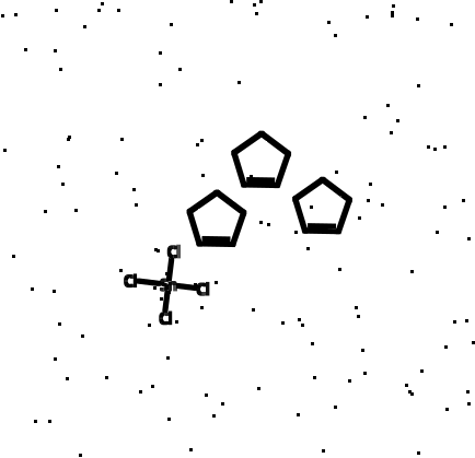 C1=CCCC1.C1=CCCC1.C1=CCCC1.[Cl][Sn]([Cl])([Cl])[Cl]